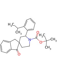 CC(C)c1ccccc1C1CC2(CCN1C(=O)OC(C)(C)C)Cc1ccccc1C2=O